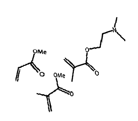 C=C(C)C(=O)OC.C=C(C)C(=O)OCCN(C)C.C=CC(=O)OC